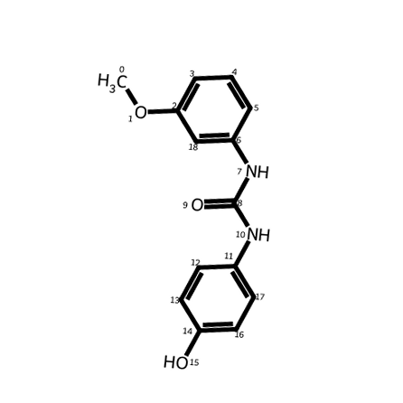 COc1cccc(NC(=O)Nc2ccc(O)cc2)c1